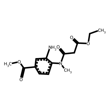 CCOC(=O)CC(=O)N(C)c1ccc(C(=O)OC)cc1N